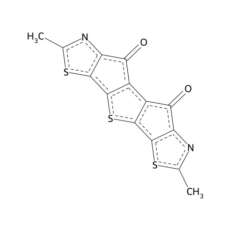 Cc1nc2c(=O)c3c(sc4c5sc(C)nc5c(=O)c43)c2s1